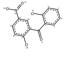 O=C(c1ccccc1Cl)c1cc([N+](=O)[O-])ccc1Cl